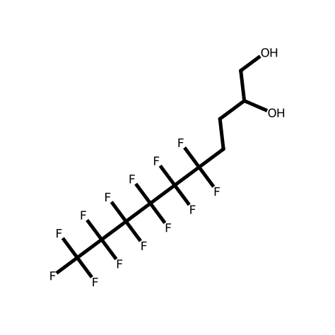 OCC(O)CCC(F)(F)C(F)(F)C(F)(F)C(F)(F)C(F)(F)C(F)(F)F